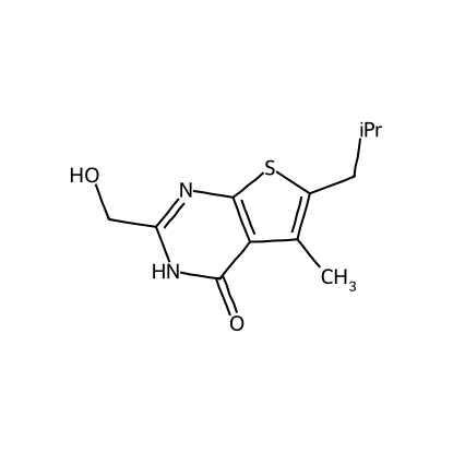 Cc1c(CC(C)C)sc2nc(CO)[nH]c(=O)c12